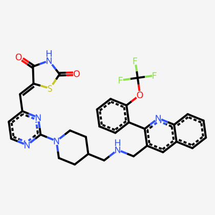 O=C1NC(=O)C(=Cc2ccnc(N3CCC(CNCc4cc5ccccc5nc4-c4ccccc4OC(F)(F)F)CC3)n2)S1